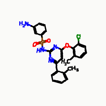 Cc1ccccc1-c1cc(Oc2c(C)cccc2Cl)nc(NS(=O)(=O)c2cccc(N)c2)n1